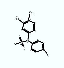 CS(=O)(=O)N(c1ccc(Br)cc1)c1ccc(C(=O)O)c(O)c1